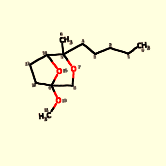 CCCCCC1(C)OCC2(OC)CCC1O2